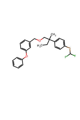 CCC(C)(COCc1cccc(Oc2ccccc2)c1)c1ccc(SC(F)F)cc1